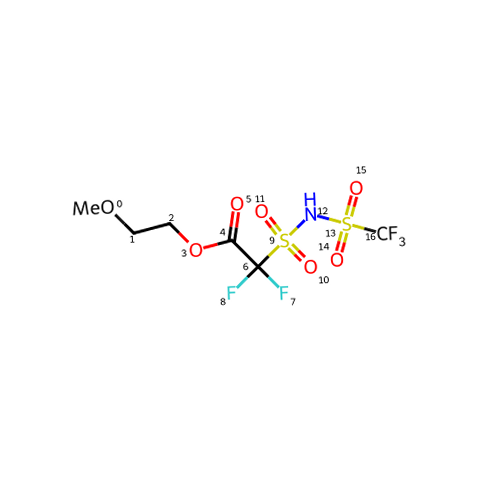 COCCOC(=O)C(F)(F)S(=O)(=O)NS(=O)(=O)C(F)(F)F